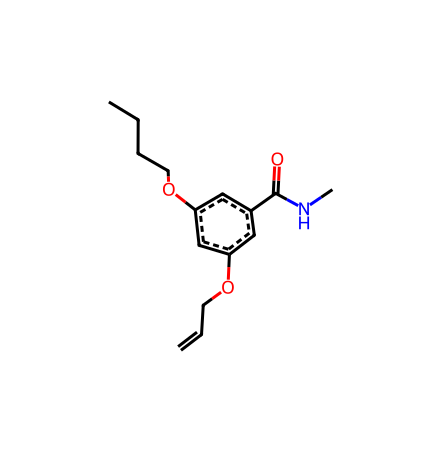 C=CCOc1cc(OCCCC)cc(C(=O)NC)c1